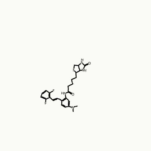 CN(C)c1ccc(C=Cc2c(F)cccc2F)c(NC(=O)CCCCC2SCC3NC(=O)NC32)c1